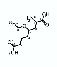 NC(CC(CCCC(=O)O)OC[18F])C(=O)O